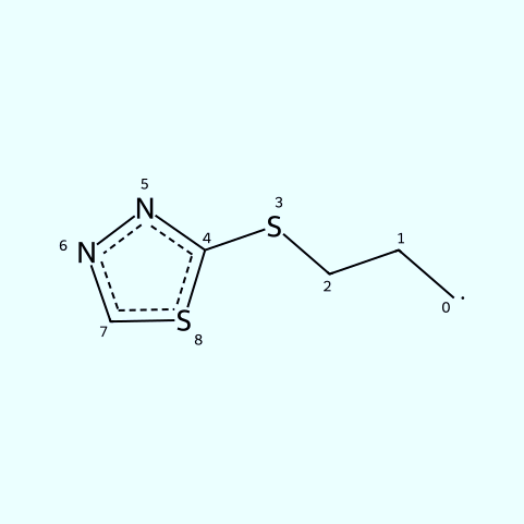 [CH2]CCSc1nncs1